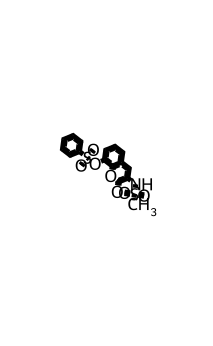 CS(=O)(=O)Nc1cc2cccc(OS(=O)(=O)c3ccccc3)c2oc1=O